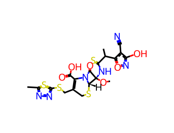 CO[C@@]1(NC(=S)C(C)c2onc(O)c2C#N)C(=O)N2C(C(=O)O)=C(CSc3nnc(C)s3)CS[C@H]21